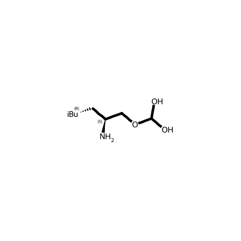 CC[C@@H](C)C[C@H](N)COC(O)O